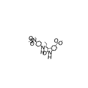 CC/C(Nc1ccc(N(C)S(C)(=O)=O)cc1)=C1/C(=O)Nc2ccc(C(=O)OC)cc21